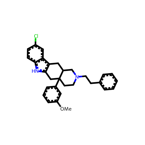 COc1cccc(C23CCN(CCc4ccccc4)CC2Cc2c([nH]c4ccc(Cl)cc24)C3)c1